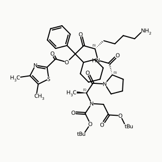 Cc1nc(C(=O)OC(C(=O)[C@H](CCCCN)NC(=O)[C@@H]2CCCN2C(=O)[C@H](C)N(CC(=O)OC(C)(C)C)C(=O)OC(C)(C)C)(c2ccccc2)C2CCCCC2)sc1C